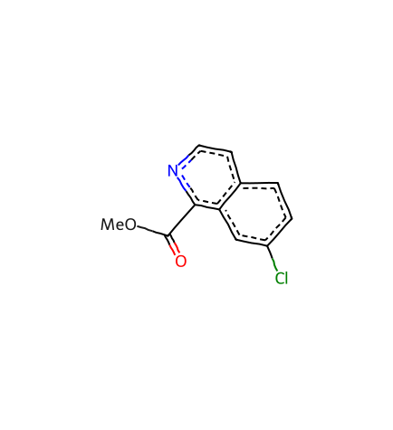 COC(=O)c1nccc2ccc(Cl)cc12